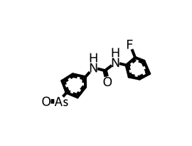 O=[As]c1ccc(NC(=O)Nc2ccccc2F)cc1